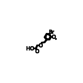 COc1cc(CCOCC(=O)O)ccc1Br